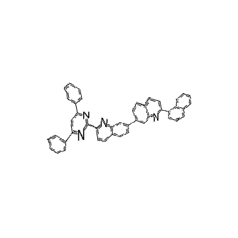 c1ccc(-c2cc(-c3ccccc3)nc(-c3ccc4ccc(-c5ccc6ccc(-c7cccc8ccccc78)nc6c5)cc4n3)n2)cc1